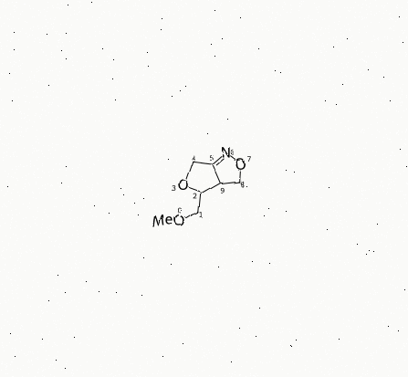 COCC1OCC2=NOCC21